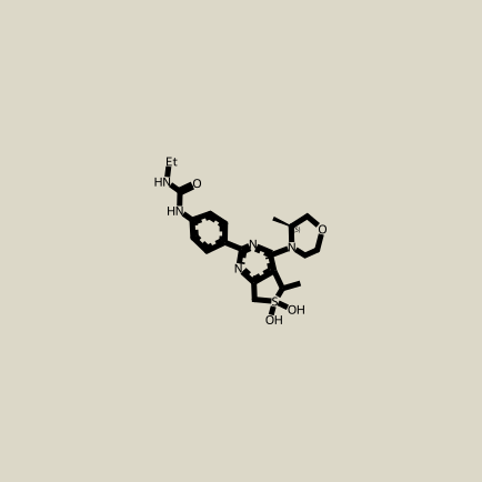 CCNC(=O)Nc1ccc(-c2nc3c(c(N4CCOC[C@@H]4C)n2)C(C)S(O)(O)C3)cc1